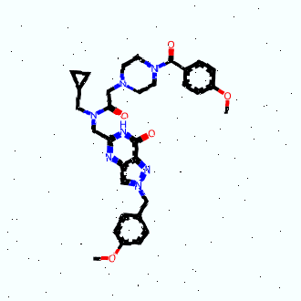 COc1ccc(Cn2cc3nc(CN(CC4CC4)C(=O)CN4CCN(C(=O)c5ccc(OC)cc5)CC4)[nH]c(=O)c3n2)cc1